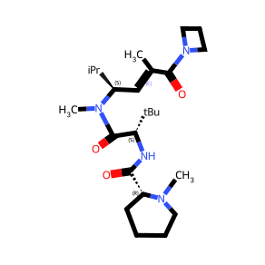 C/C(=C\[C@H](C(C)C)N(C)C(=O)[C@@H](NC(=O)[C@H]1CCCCN1C)C(C)(C)C)C(=O)N1CCC1